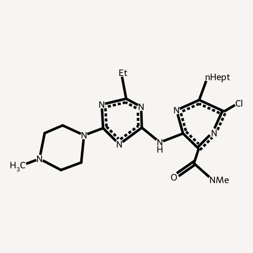 CCCCCCCc1nc(Nc2nc(CC)nc(N3CCN(C)CC3)n2)c(C(=O)NC)nc1Cl